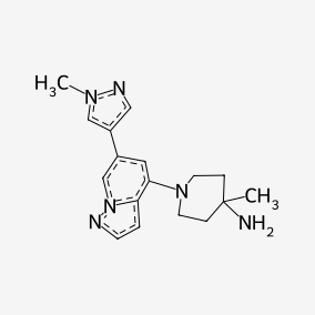 Cn1cc(-c2cc(N3CCC(C)(N)CC3)c3ccnn3c2)cn1